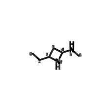 CCC1CC(NC)N1